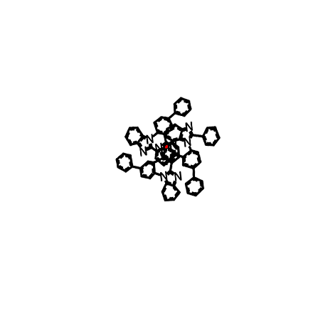 c1ccc(-c2ccc(-n3c(-c4ccccc4)nc4ccccc43)c(-c3nc(-c4cc(-c5ccccc5)ccc4-n4c(-c5ccccc5)nc5ccccc54)nc(-c4cc(-c5ccccc5)ccc4-n4c(-c5ccccc5)nc5ccccc54)n3)c2)cc1